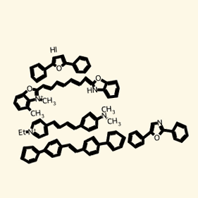 C(=Cc1ccc(-c2ccccc2)cc1)c1ccc(-c2ccccc2)cc1.CC[n+]1ccc(C=CC=Cc2ccc(N(C)C)cc2)cc1.Cc1cccc2oc(C=CC=CC=CC=C3Nc4ccccc4O3)[n+](C)c12.I.c1ccc(-c2ccc(-c3ccccc3)o2)cc1.c1ccc(-c2cnc(-c3ccccc3)o2)cc1